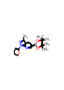 Cc1nn(C2CCCCO2)c2ncc(B3OC(C)(C)C(C)(C)O3)cc12